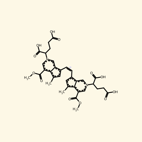 COC(=O)c1cn(C(CCC(=O)O)C(=O)O)cc2c(/C=C\c3cc(C)c4c(C(=O)OC)cn(C(CCC(=O)O)C(=O)O)cc3-4)cc(C)c1-2